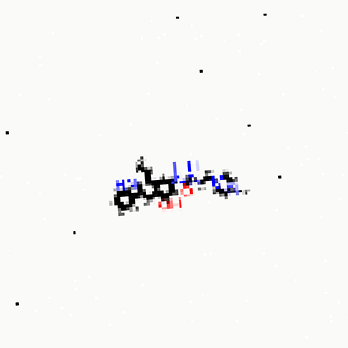 CCCCc1cc(NC(=O)NCCN2CCN(C)CC2)cc(O)c1Cc1c[nH]c2ccccc12